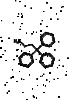 C[CH]CC(c1ccccc1)(c1ccccc1)c1ccccc1